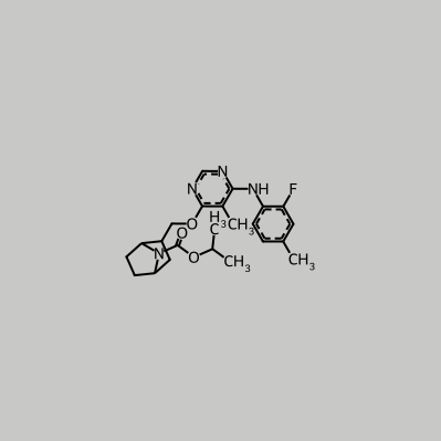 Cc1ccc(Nc2ncnc(OCC3CC4CCC3N4C(=O)OC(C)C)c2C)c(F)c1